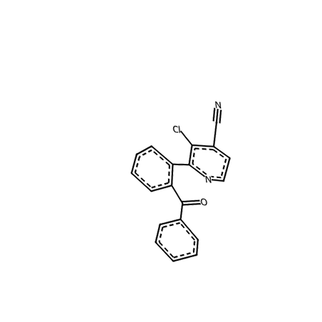 N#Cc1ccnc(-c2ccccc2C(=O)c2ccccc2)c1Cl